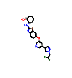 O[C@@H]1CCCC[C@H]1Nc1nc2ccc(Oc3cncc(-c4cnn(CC(F)F)c4)c3)cc2s1